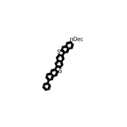 CCCCCCCCCCc1ccc2cc3c(cc2c1)sc1cc2cc4c(cc2cc13)sc1cc2cc(-c3ccccc3)ccc2cc14